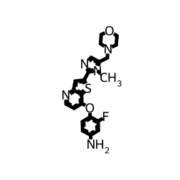 Cn1c(CN2CCOCC2)cnc1-c1cc2nccc(Oc3ccc(N)cc3F)c2s1